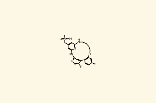 CS(=N)(=O)Cc1cc2nc(c1)Nc1cc(c(F)cn1)-c1ccc(F)cc1OCCCCN2